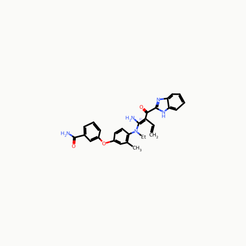 C=C/C(C(=O)c1nc2ccccc2[nH]1)=C(/N)N(CC)c1ccc(Oc2cccc(C(N)=O)c2)cc1C